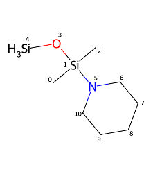 C[Si](C)(O[SiH3])N1CCCCC1